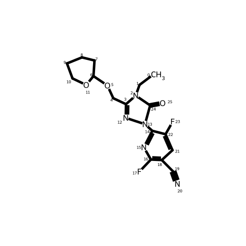 CCn1c(COC2CCCCO2)nn(-c2nc(F)c(C#N)cc2F)c1=O